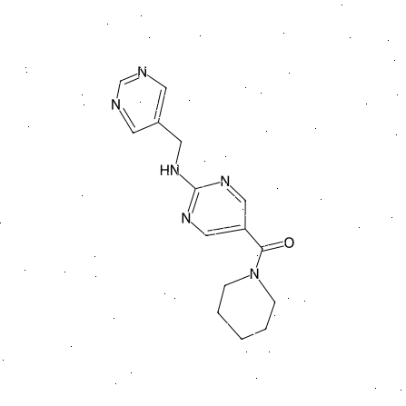 O=C(c1cnc(NCc2cncnc2)nc1)N1CCCCC1